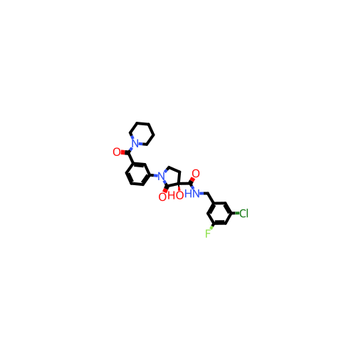 O=C(c1cccc(N2CC[C@](O)(C(=O)NCc3cc(F)cc(Cl)c3)C2=O)c1)N1CCCCC1